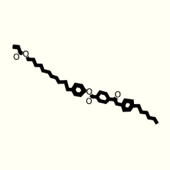 C=CC(=O)OCCCCCCCCCCCc1ccc(OC(=O)C2CCC(C(=O)Cc3ccc(CCCCCC)cc3)CC2)cc1